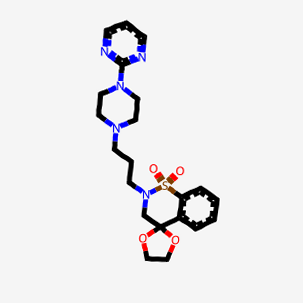 O=S1(=O)c2ccccc2C2(CN1CCCN1CCN(c3ncccn3)CC1)OCCO2